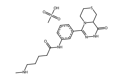 CNCCCCC(=O)Nc1cccc(C2=NNC(=O)C3CSCCN23)c1.CS(=O)(=O)O